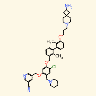 Cc1c(COc2cc(OCc3cncc(C#N)c3)c(CN3CCCCC3)cc2Cl)cccc1-c1cccc(OCCCN2CCC3(CC2)CC(N)C3)c1C